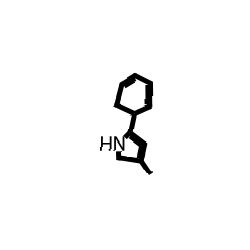 CC1=C=C(C2C=CC=CC2)NC1